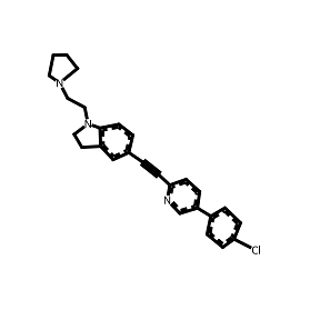 Clc1ccc(-c2ccc(C#Cc3ccc4c(c3)CCN4CCN3CCCC3)nc2)cc1